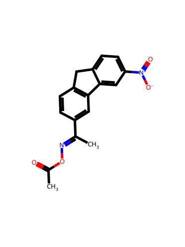 CC(=O)O/N=C(\C)c1ccc2c(c1)-c1cc([N+](=O)[O-])ccc1C2